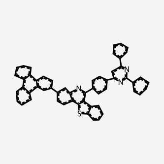 c1ccc(-c2cc(-c3ccc(-c4nc5cc(-c6ccc7c8ccccc8c8ccccc8c7c6)ccc5c5sc6ccccc6c45)cc3)nc(-c3ccccc3)n2)cc1